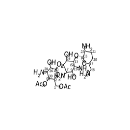 CC(=O)OCC1O[C@H](O[C@H]2C(N)C(O)[C@H](N)C(O[C@H]3OC(CN)CCC3N)C2O)C(O)C(N)[C@@H]1OC(C)=O